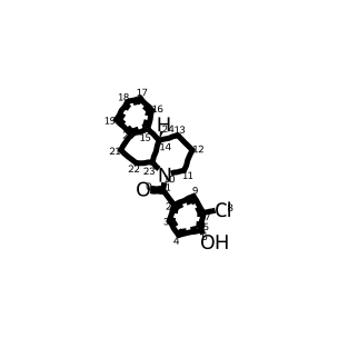 O=C(c1ccc(O)c(Cl)c1)N1CCC[C@@H]2c3ccccc3CCC21